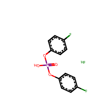 F.O=P(O)(Oc1ccc(F)cc1)Oc1ccc(F)cc1